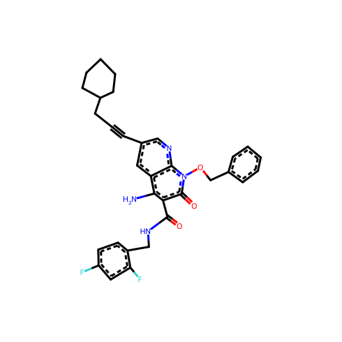 Nc1c(C(=O)NCc2ccc(F)cc2F)c(=O)n(OCc2ccccc2)c2ncc(C#CCC3CCCCC3)cc12